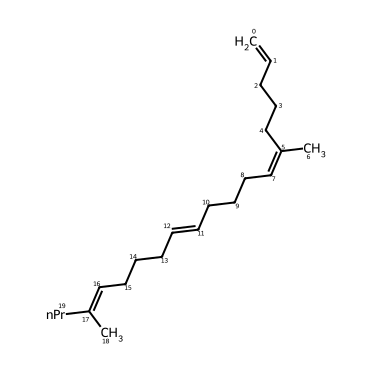 C=CCCCC(C)=CCCCC=CCCCC=C(C)CCC